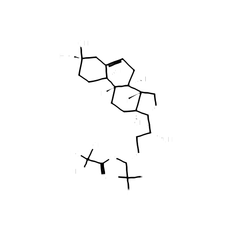 C[C@H](CC[C@@H](OC(=O)C(C)(C)C)C(F)(F)F)[C@H]1CC[C@H]2[C@@H]3CC=C4C[C@@](C)(O)CC[C@]4(C)[C@H]3CC[C@]12C